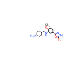 NC1CCC(CNc2cc(-c3n[nH]c(=O)o3)ccc2OC(F)(F)F)CC1